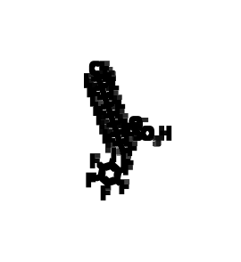 Fc1c(F)c(F)c([I+]C(F)(F)C(F)(F)C(F)(F)C(F)(F)C(F)(F)C(F)(F)C(F)(F)C(F)(F)C(F)(F)C(F)(F)F)c(F)c1F.O=S(=O)([O-])O